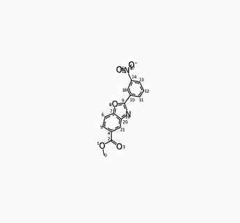 COC(=O)c1ccc2oc(-c3cccc([N+](=O)[O-])c3)nc2c1